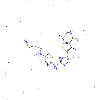 Cc1c(-c2nc(Nc3ccc(N4CCC5(CC4)CN(C)C5)cn3)ncc2F)sc2c1C(=O)N(C)CC21CC1